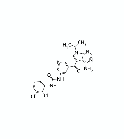 CC(C)n1cc(C(=O)c2cncc(NC(=O)Nc3cccc(Cl)c3Cl)c2)c2c(N)ncnc21